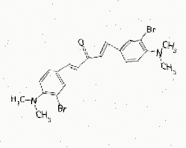 CN(C)c1ccc(/C=C/C(=O)/C=C/c2ccc(N(C)C)c(Br)c2)cc1Br